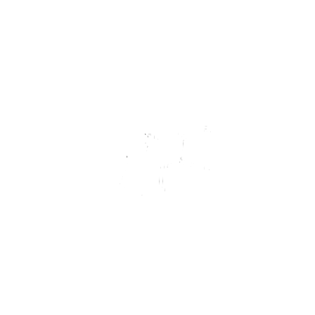 CCOC(=O)C1=CCCCC1.N